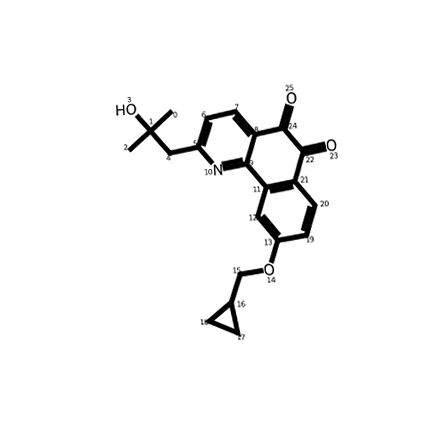 CC(C)(O)Cc1ccc2c(n1)-c1cc(OCC3CC3)ccc1C(=O)C2=O